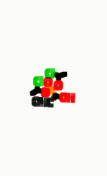 CC(Cl)OP(=O)(OC(C)Cl)C(O)C=O